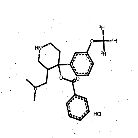 Cl.[2H]C([2H])([2H])Oc1cccc(C2(OC(=O)c3ccccc3)CCNCC2CN(C)C)c1